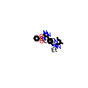 CCc1nc2c(C)cc(C)nc2n1Cc1ccc(-c2ncncc2N(C=O)S(=O)(=O)c2ccccc2)cc1